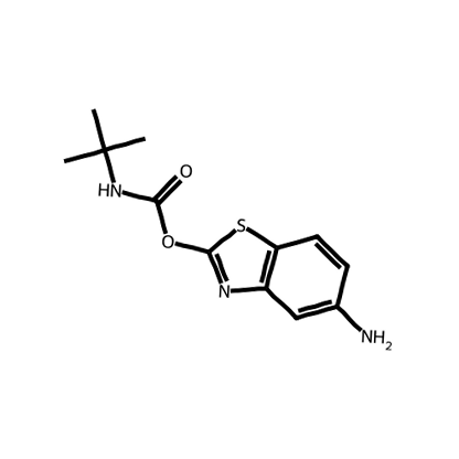 CC(C)(C)NC(=O)Oc1nc2cc(N)ccc2s1